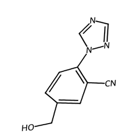 N#Cc1cc(CO)ccc1-n1cncn1